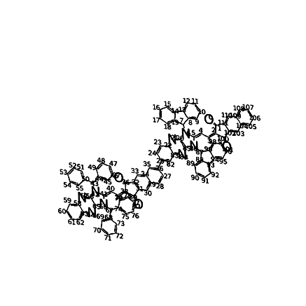 O=C1C(=C/C=C2/N(C3c4ccccc4-c4ccccc43)c3nc4ccc(-c5ccc6cc7c(cc6c5)C(=O)/C(=C\C=C5N(C(c6ccccc6)c6ccccc6)c6nc8ccccc8nc6N5C(c5ccccc5)c5ccccc5)C7=O)cc4nc3N2C2c3ccccc3-c3ccccc32)C(=O)c2cc3ccccc3cc21